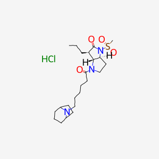 CCC[C@H]1C(=O)N(S(C)(=O)=O)[C@H]2CCN(C(=O)CCCCCN3C4CCCC3CC4)[C@H]12.Cl